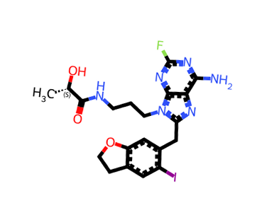 C[C@H](O)C(=O)NCCCn1c(Cc2cc3c(cc2I)CCO3)nc2c(N)nc(F)nc21